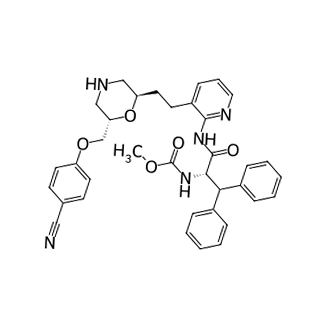 COC(=O)N[C@H](C(=O)Nc1ncccc1CC[C@@H]1CNC[C@@H](COc2ccc(C#N)cc2)O1)C(c1ccccc1)c1ccccc1